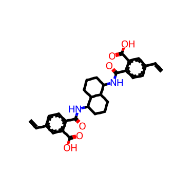 C=Cc1ccc(C(=O)NC2CCCC3C(NC(=O)c4ccc(C=C)cc4C(=O)O)CCCC23)c(C(=O)O)c1